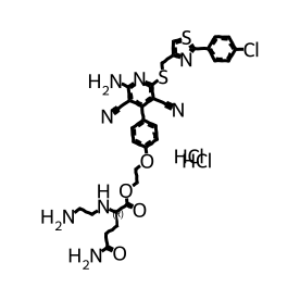 Cl.Cl.N#Cc1c(N)nc(SCc2csc(-c3ccc(Cl)cc3)n2)c(C#N)c1-c1ccc(OCCOC(=O)[C@@H](CCC(N)=O)NCCN)cc1